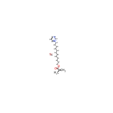 C=C(C)C(=O)OCCCCCCCCCCCC[n+]1cccnc1.[Br-]